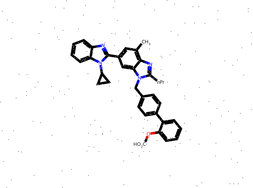 CCCc1nc2c(C)cc(-c3nc4ccccc4n3C3CC3)cc2n1Cc1ccc(-c2ccccc2OC(=O)O)cc1